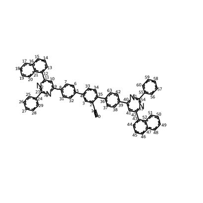 C#Cc1cc(-c2ccc(-c3cc(-c4cccc5ccccc45)nc(-c4ccccc4)n3)cc2)ccc1-c1ccc(-c2cc(-c3cccc4ccccc34)nc(-c3ccccc3)n2)cc1